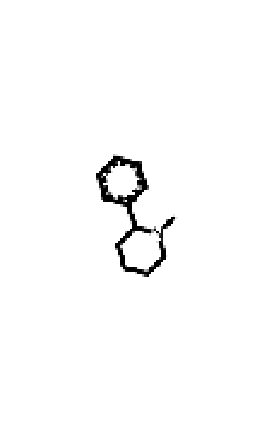 CN1CCCCC1c1ccccc1